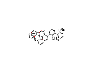 CCCCc1ccccc1-c1cccc(-c2cccc3c2Sc2cccc(-c4ccccc4)c2C32c3ccccc3Sc3ccccc32)c1C